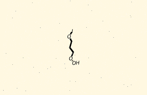 OOCCCOI